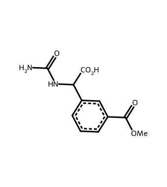 COC(=O)c1cccc(C(NC(N)=O)C(=O)O)c1